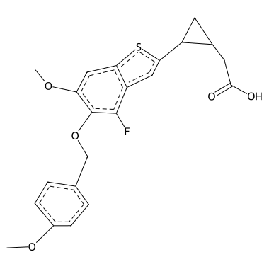 COc1ccc(COc2c(OC)cc3sc(C4CC4CC(=O)O)cc3c2F)cc1